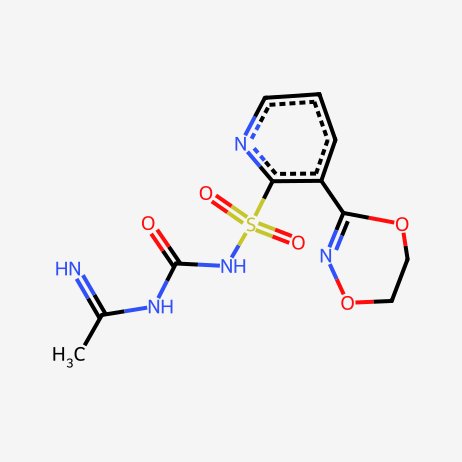 CC(=N)NC(=O)NS(=O)(=O)c1ncccc1C1=NOCCO1